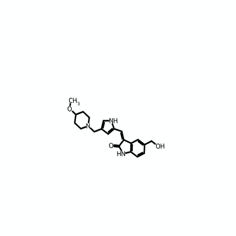 COC1CCN(Cc2c[nH]c(C=C3C(=O)Nc4ccc(CO)cc43)c2)CC1